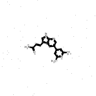 Cc1cc(-c2cnc3[nH]cc(/C=C/C(N)=O)c3c2)cc(C(F)(F)F)n1